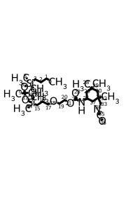 CCCC[Si](C)(C)OC(C)(C)O[Si](C)(C)CCCOCCOC(=O)NC1CC(C)(C)CC(C)(CN=C=O)C1